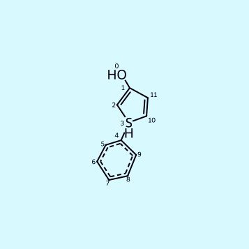 OC1=C[SH](c2ccccc2)C=C1